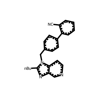 CCCCc1nc2cnccc2n1Cc1ccc(-c2ccccc2C#N)cc1